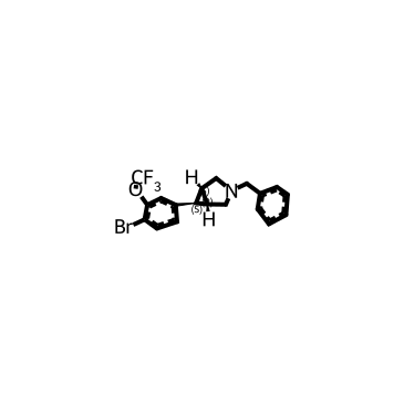 FC(F)(F)Oc1cc([C@H]2[C@@H]3CN(Cc4ccccc4)C[C@@H]32)ccc1Br